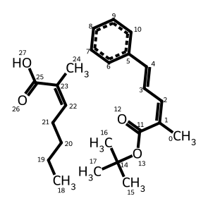 CC(=CC=Cc1ccccc1)C(=O)OC(C)(C)C.CCCCC=C(C)C(=O)O